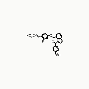 CCCCc1ccc(C(=O)N2CCc3cccc(COc4ccc(CCC(=O)O)c(F)c4)c32)nc1